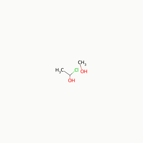 CC(O)Cl.CO